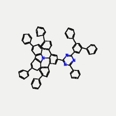 C1=C(c2ccccc2)CCc2c1c1cc(-c3ccccc3)ccc1n2-c1c(-c2ccc(-c3ccccc3)cc2)cc(-c2nc(-c3ccccc3)nc(-c3cc(-c4ccccc4)cc(-c4ccccc4)c3)n2)cc1-c1ccc(-c2ccccc2)cc1